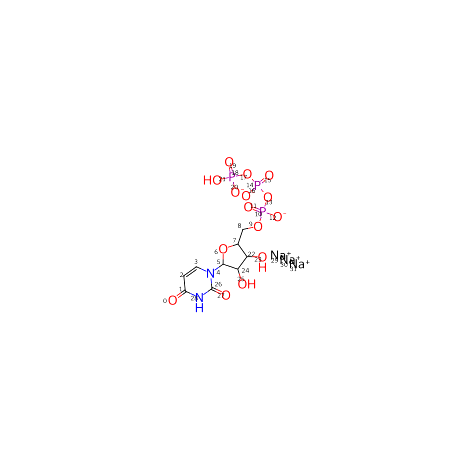 O=c1ccn(C2OC(COP(=O)([O-])OP(=O)([O-])OP(=O)([O-])O)C(O)C2O)c(=O)[nH]1.[Na+].[Na+].[Na+]